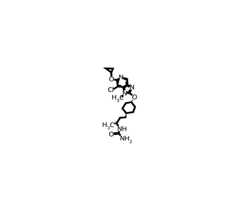 C[C@@H](CC[C@H]1CC[C@H](Oc2nc3cnc(OC4CC4)c(Cl)c3n2C)CC1)NC(N)=O